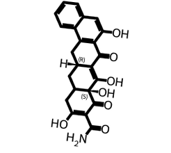 NC(=O)C1=C(O)CC2C[C@@H]3Cc4c(c(O)cc5ccccc45)C(=O)C3=C(O)[C@]2(O)C1=O